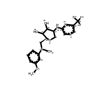 COc1cccc(N(C)C[C@@H]2OCC(Nc3cncc(C(F)(F)F)n3)C(O)C2O)c1